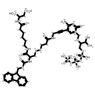 CC(O)C(COP(=O)(O)OP(=O)(O)OP(=O)(O)O)OCn1cc(C#CCNC(=O)CCSSCC(NC(=O)OCC2c3ccccc3-c3ccccc32)C(=O)NCCCCCC(=O)NC(CC(=O)O)C(=O)O)c(N)nc1=O